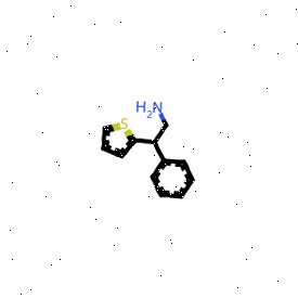 NCC(c1ccccc1)c1cccs1